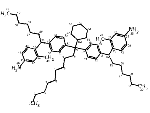 CCCCCCCCCC(c1ccc(C(CCCCCC)c2ccc(N)cc2C)cc1)(c1ccc(C(CCCCCC)c2ccc(N)cc2C)cc1)C1CCCCC1